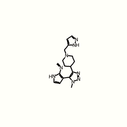 C=Nc1[nH]ccc1-c1c(C2CCN(Cc3ccn[nH]3)CC2)nnn1C